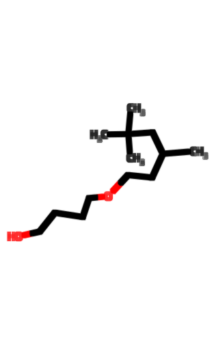 CC(CCOCCCCO)CC(C)(C)C